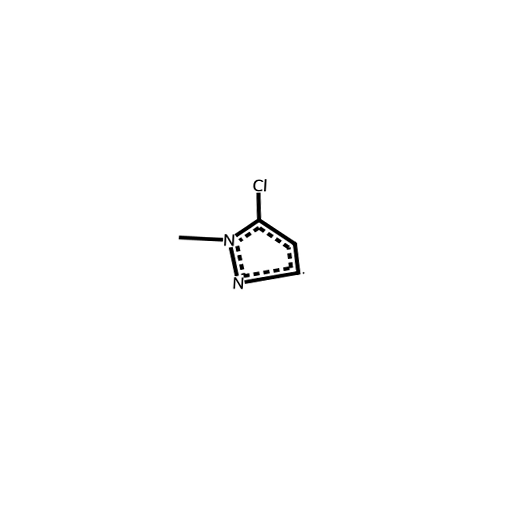 Cn1n[c]cc1Cl